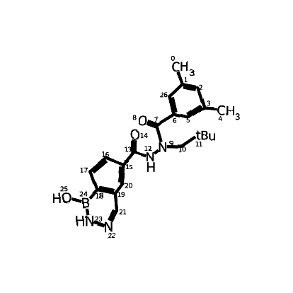 Cc1cc(C)cc(C(=O)N(CC(C)(C)C)NC(=O)c2ccc3c(c2)C=NNB3O)c1